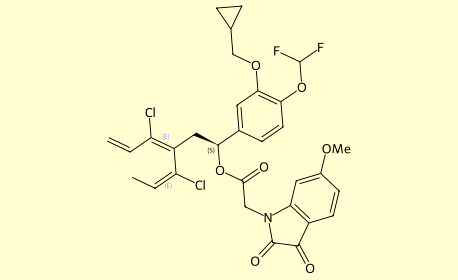 C=C/C(Cl)=C(C[C@H](OC(=O)CN1C(=O)C(=O)c2ccc(OC)cc21)c1ccc(OC(F)F)c(OCC2CC2)c1)\C(Cl)=C/C